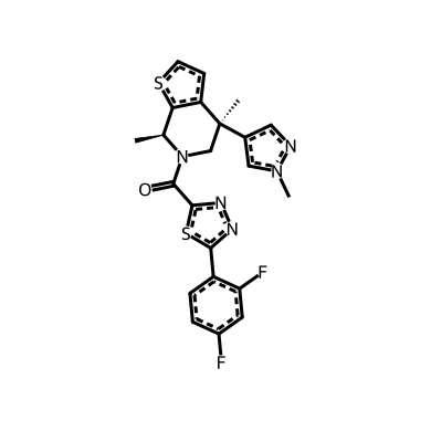 C[C@H]1c2sccc2[C@@](C)(c2cnn(C)c2)CN1C(=O)c1nnc(-c2ccc(F)cc2F)s1